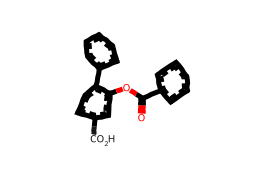 O=C(O)c1ccc(-c2ccccc2)c(OC(=O)c2ccccc2)c1